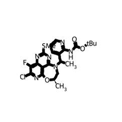 CSc1nc2c3c(nc(Cl)c(F)c3n1)O[C@@H](C)CN2C(C)c1cccnc1NC(=O)OC(C)(C)C